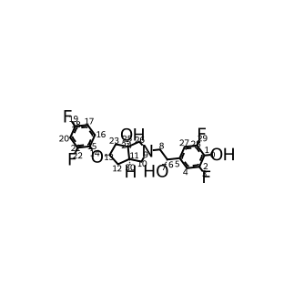 Oc1c(F)cc([C@H](O)CN2C[C@H]3C[C@H](Oc4ccc(F)cc4F)C[C@@]3(O)C2)cc1F